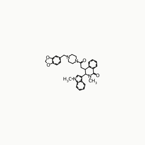 CN1C(=O)c2ccccc2C(CC(=O)N2CCN(Cc3ccc4c(c3)OCO4)CC2)C1c1cn(C)c2ccccc12